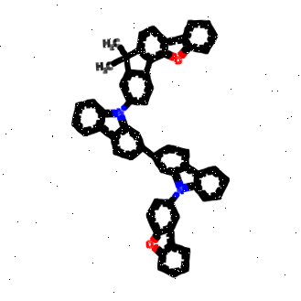 CC1(C)c2cc(-n3c4ccccc4c4ccc(-c5ccc6c7ccccc7n(-c7ccc8oc9ccccc9c8c7)c6c5)cc43)ccc2-c2c1ccc1c2oc2ccccc21